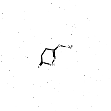 O=C1CCC(OC(=O)O)=NN1